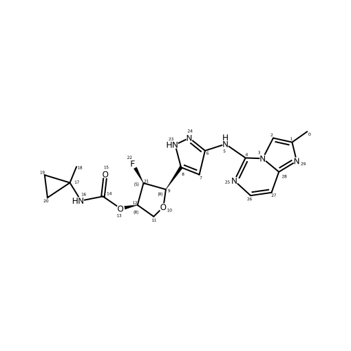 Cc1cn2c(Nc3cc([C@H]4OC[C@@H](OC(=O)NC5(C)CC5)[C@H]4F)[nH]n3)nccc2n1